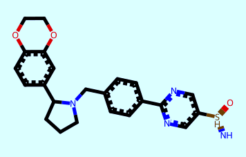 N=[SH](=O)c1cnc(-c2ccc(CN3CCCC3c3ccc4c(c3)OCCO4)cc2)nc1